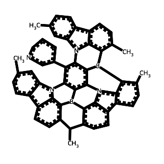 Cc1ccc2c3ccc(C)c4c3n(c2c1)-c1c2c3c5c(c1-c1cccnc1)-n1c6cc(C)ccc6c6ccc7c(c61)B5c1c(ccc5c6ccc(C)c(c6n-3c15)B24)C7C